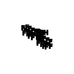 O=S(=O)(O)C(CC(F)(F)C(F)(F)C(F)(F)C(F)(F)F)C(F)(F)C(F)(F)C(F)(F)C(F)(F)F